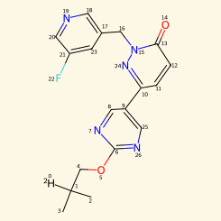 [2H]C(C)(C)COc1ncc(-c2ccc(=O)n(Cc3cncc(F)c3)n2)cn1